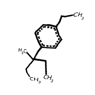 CCc1ccc(C(C)(CC)CC)cc1